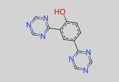 Oc1ccc(-c2ncncn2)cc1-c1ncncn1